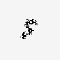 Cc1cc(Nc2nccc(C(F)(F)F)n2)cc(-c2cnc(C(C)(O)C3CCC(C(=O)O)C(C)C3)s2)c1